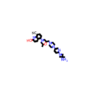 CC1CN(c2ccc(C#N)c3nc(O)ccc23)CC(CN2CCN(c3ccc(N4CC(C)(N)C4)nc3)CC2)O1